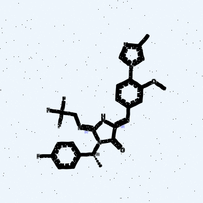 COc1cc(/C=C2\N/C(=N\CC(F)(F)F)N([C@H](C)c3ccc(F)cc3)C2=O)ccc1-n1cnc(C)c1